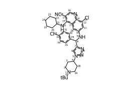 CC(C)(C)N1CCC(n2cc(C(Nc3cc(Cl)c4ncc(C#N)c(NC5CCCCC5)c4c3)c3ccc(Cl)cc3)nn2)CC1